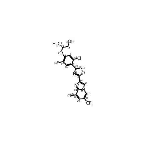 C[C@@H](CO)Oc1cc(Cl)c(-c2noc(-c3cn4cc(C(F)(F)F)cc(Cl)c4n3)n2)cc1F